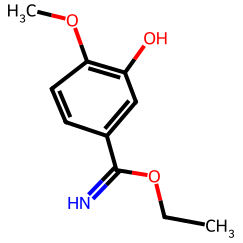 CCOC(=N)c1ccc(OC)c(O)c1